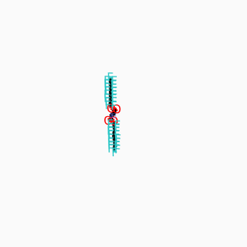 O=C(/C=C/C(=O)OC(F)(F)C(F)(F)C(F)(F)C(F)(F)C(F)(F)C(F)(F)C(F)(F)C(F)(F)F)OC(F)(F)C(F)(F)C(F)(F)C(F)(F)C(F)(F)C(F)(F)C(F)(F)C(F)(F)F